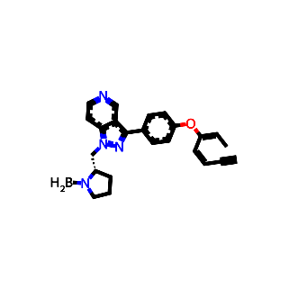 BN1CCC[C@H]1Cn1nc(-c2ccc(OC(/C=C\C#C)=C/C)cc2)c2cnccc21